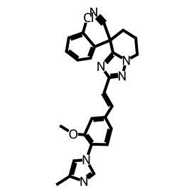 COc1cc(/C=C/c2nc3n(n2)CCCC3(C#N)c2ccccc2Cl)ccc1-n1cnc(C)c1